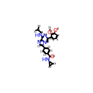 COc1cccc(-c2cn3c(-c4ccc(C(=O)NC5CC5)cc4)cnc3c(NCC(C)C)n2)c1OC